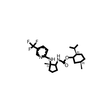 CC(C)[C@H]1CC[C@@H](C)CC1OC(=O)NC1CCC[C@]1(C)Nc1ccc(C(F)(F)F)cn1